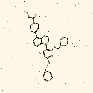 CC(C)(C)OC(=O)N1CC=C(c2cccc3c2OCCN3c2ccc(OCc3ccccc3)nc2OCc2ccccc2)CC1